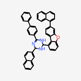 c1ccc(-c2ccc(C3=NC(c4ccc5ccccc5c4)NC(c4cccc5oc6cc(-c7cccc8ccccc78)ccc6c45)N3)cc2)cc1